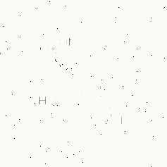 CSc1ccc(C2(CO)CCN(C(=O)O)CC2)cc1